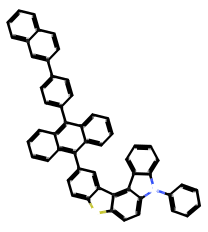 c1ccc(-n2c3ccccc3c3c4c(ccc32)sc2ccc(-c3c5ccccc5c(-c5ccc(-c6ccc7ccccc7c6)cc5)c5ccccc35)cc24)cc1